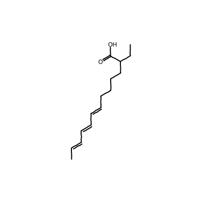 CC=CC=CC=CCCCCC(CC)C(=O)O